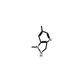 Cc1cnc2c(c1)N(C)NC2